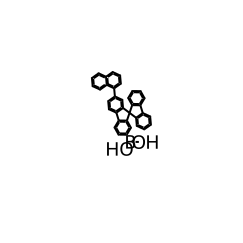 OB(O)c1ccc2c(c1)C1(c3ccccc3-c3ccccc31)c1cc(-c3cccc4ccccc34)ccc1-2